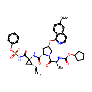 C=C[C@@H]1C[C@]1(NC(=O)[C@@H]1C[C@@H](Oc2nccc3cc(OC)ccc23)CN1C(=O)[C@@H](NC(=O)OC1CCCC1)C(C)(C)C)C(=O)NS(=O)(=O)Oc1ccccc1